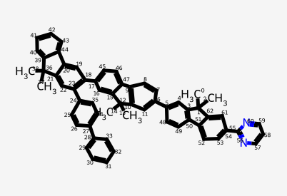 CC1(C)c2cc(-c3ccc4c(c3)C(C)(C)c3cc(-c5cc6c(cc5-c5ccc(-c7ccccc7)cc5)C(C)(C)c5ccccc5-6)ccc3-4)ccc2-c2ccc(-c3ncccn3)cc21